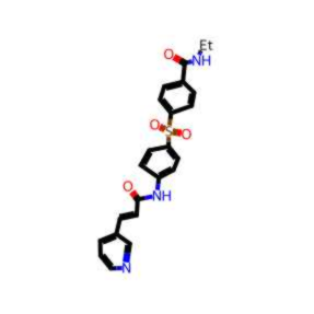 CCNC(=O)c1ccc(S(=O)(=O)c2ccc(NC(=O)/C=C/c3cccnc3)cc2)cc1